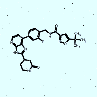 CC(C)(C)c1cc(C(=O)NCc2ccc(-c3ccnc4[nH]c(C5CCNC(=O)C5)nc34)cc2F)no1